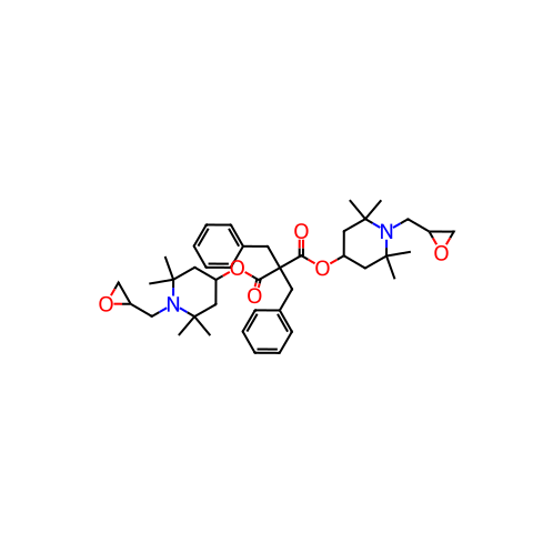 CC1(C)CC(OC(=O)C(Cc2ccccc2)(Cc2ccccc2)C(=O)OC2CC(C)(C)N(CC3CO3)C(C)(C)C2)CC(C)(C)N1CC1CO1